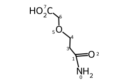 NC(=O)CCOCC(=O)O